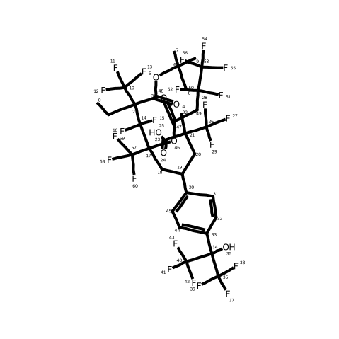 CCC(C(=O)OC(C)(C)C)(C(F)(F)F)C(F)(F)C(CC(CC(C)(C(=O)O)C(F)(F)F)c1ccc(C(O)(C(F)(F)F)C(F)(F)F)cc1)(OC(=O)CC(F)(F)C(F)(F)F)C(F)(F)F